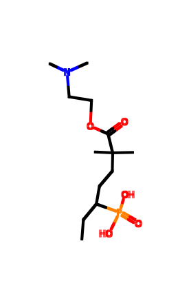 CCC(CCC(C)(C)C(=O)OCCN(C)C)P(=O)(O)O